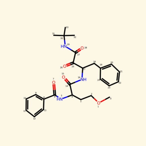 COCCC(NC(=O)c1ccccc1)C(=O)NC(Cc1ccccc1)C(=O)C(=O)NC(C)(C)C